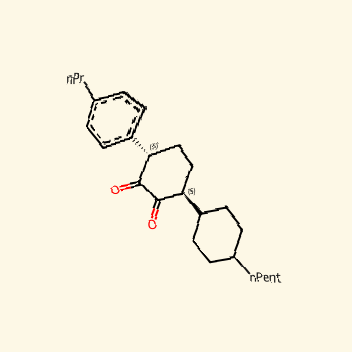 CCCCCC1CCC([C@@H]2CC[C@@H](c3ccc(CCC)cc3)C(=O)C2=O)CC1